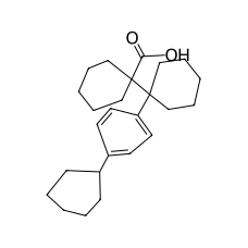 O=C(O)C1(C2(c3ccc(C4CCCCC4)cc3)CCCCC2)CCCCC1